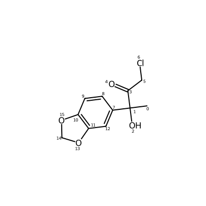 CC(O)(C(=O)CCl)c1ccc2c(c1)OCO2